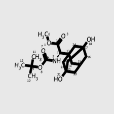 COC(=O)[C@@H](NC(=O)OC(C)(C)C)C12CC3CC(O)(CC(O)(C3)C1)C2